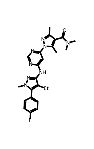 CCc1c(Nc2cc(-n3nc(C)c(C(=O)N(C)C)c3C)ncn2)nn(C)c1-c1ccc(F)cc1